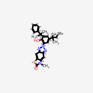 Cn1c(=O)sc2cc3nn(-c4cc(C(C)(C)CC(C)(C)C)cc(C(C)(C)c5ccccc5)c4O)nc3cc21